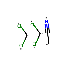 CC#N.ClCCl.ClCCl